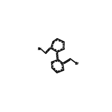 Br\C=c1/cccc/c1=c1/cccc/c1=C\Br